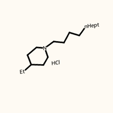 CCCCCCCCCCCN1CCC(CC)CC1.Cl